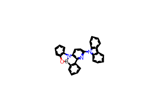 c1ccc2c(c1)OB1c3ccccc3-c3nc(-n4c5ccccc5c5ccccc54)ccc3N12